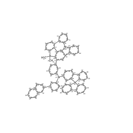 CC1(C)c2cccc3c2-c2c1c(-c1cccc(N(c4cccc(-c5ccc6ccccc6c5)c4)c4ccc5c(c4)C4(c6ccccc6-c6ccccc64)c4ccccc4-5)c1)cc1c4ccccc4n(c21)-c1ccccc1-3